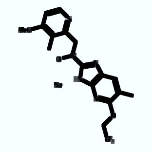 COc1ccnc(C[S+]([O-])c2nc3cc(C)c(OCC(F)(F)F)nc3[nH]2)c1C.[Na]